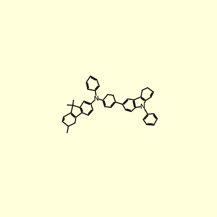 CC1C=CC2=C(C1)c1ccc(N(C3=CC=C(c4ccc5c(c4)c4c(n5-c5ccccc5)C=CCC4)CC3)c3ccccc3)cc1C2(C)C